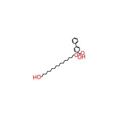 O=C(O)C1(OCCCCCCCCCCCCCCCCO)C=CC(c2ccccc2)=CC1